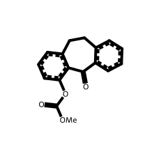 COC(=O)Oc1cccc2c1C(=O)c1ccccc1CC2